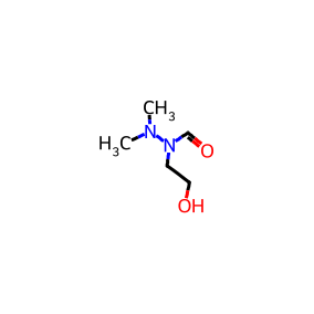 CN(C)N(C=O)CCO